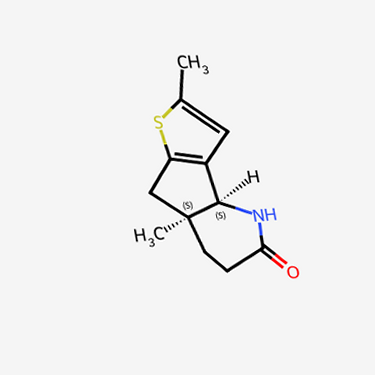 Cc1cc2c(s1)C[C@]1(C)CCC(=O)N[C@H]21